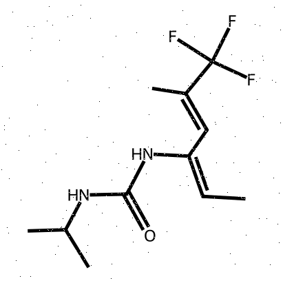 C/C=C(\C=C(/C)C(F)(F)F)NC(=O)NC(C)C